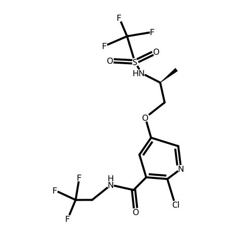 C[C@@H](COc1cnc(Cl)c(C(=O)NCC(F)(F)F)c1)NS(=O)(=O)C(F)(F)F